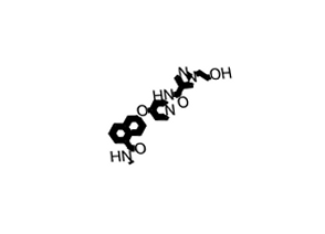 CNC(=O)c1cccc2cc(Oc3ccnc(NC(=O)c4cnn(CCO)c4)c3)ccc12